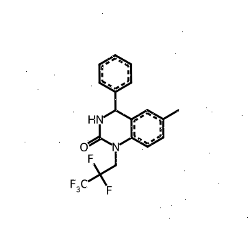 Cc1ccc2c(c1)C(c1ccccc1)NC(=O)N2CC(F)(F)C(F)(F)F